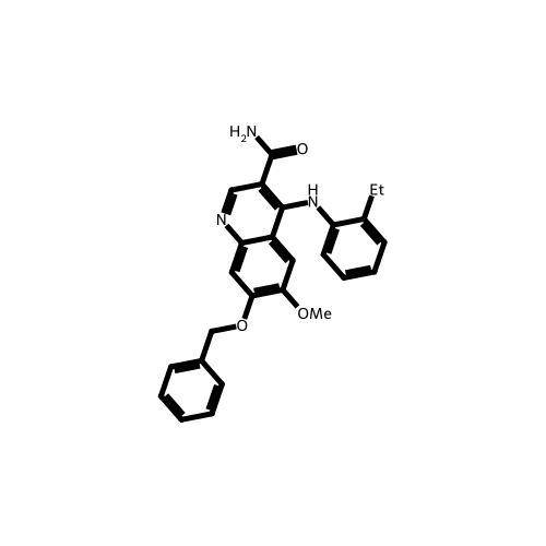 CCc1ccccc1Nc1c(C(N)=O)cnc2cc(OCc3ccccc3)c(OC)cc12